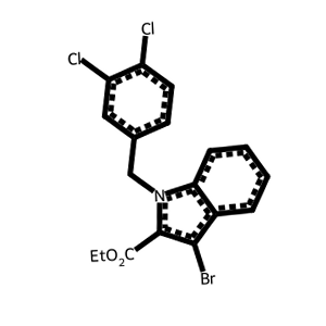 CCOC(=O)c1c(Br)c2ccccc2n1Cc1ccc(Cl)c(Cl)c1